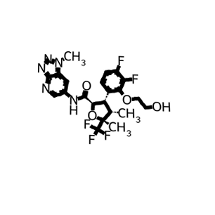 C[C@H]1[C@@H](c2ccc(F)c(F)c2OCCO)[C@H](C(=O)Nc2cnc3nnn(C)c3c2)O[C@@]1(C)C(F)(F)F